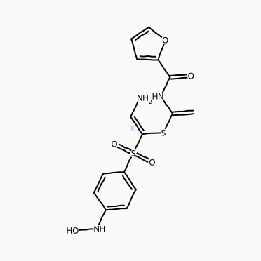 C=C(NC(=O)c1ccco1)S/C(=C\N)S(=O)(=O)c1ccc(NO)cc1